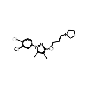 Cc1c(OCCCN2CCCC2)nn(-c2ccc(Cl)c(Cl)c2)c1C